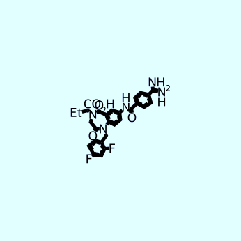 CCC(C(=O)O)N1CC(=O)N(Cc2ccc(F)cc2F)c2ccc(NC(=O)c3ccc(C(=N)N)cc3)cc2C1=O